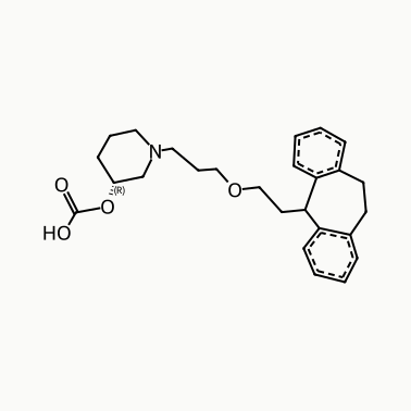 O=C(O)O[C@@H]1CCCN(CCCOCCC2c3ccccc3CCc3ccccc32)C1